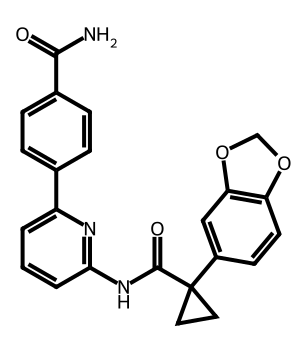 NC(=O)c1ccc(-c2cccc(NC(=O)C3(c4ccc5c(c4)OCO5)CC3)n2)cc1